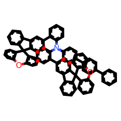 c1ccc(-c2ccc(-c3ccc(N(c4ccccc4-c4ccc5c(c4)-c4ccccc4C54c5ccccc5Oc5ccccc54)c4ccccc4-c4ccc5c(c4)-c4ccccc4C54c5ccccc5Oc5ccccc54)cc3)cc2)cc1